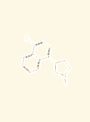 CN1CCC(c2ccc(F)c3ccccc23)C1